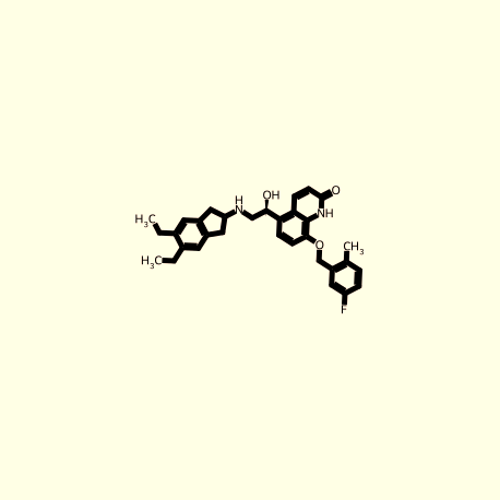 CCc1cc2c(cc1CC)CC(NC[C@@H](O)c1ccc(OCc3cc(F)ccc3C)c3[nH]c(=O)ccc13)C2